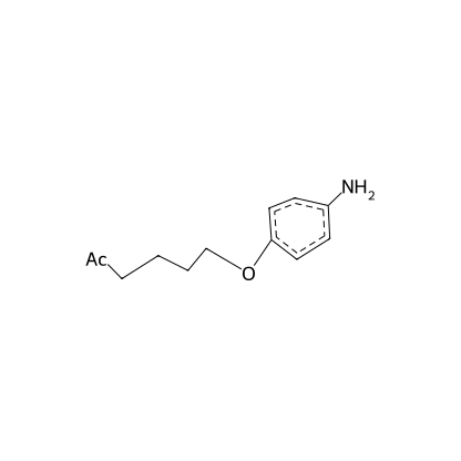 CC(=O)CCCCOc1ccc(N)cc1